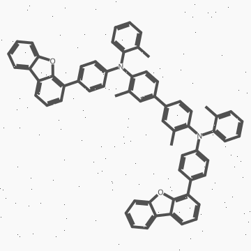 Cc1ccccc1N(c1ccc(-c2cccc3c2oc2ccccc23)cc1)c1ccc(-c2ccc(N(c3ccc(-c4cccc5c4oc4ccccc45)cc3)c3ccccc3C)c(C)c2)cc1C